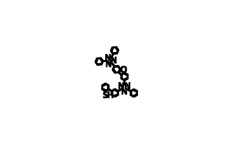 Sc1ccccc1-c1cccc(-c2nc(-c3ccccc3)nc(-c3ccc4oc5cc(-c6nc(-c7ccccc7)nc(-c7ccccc7)n6)ccc5c4c3)n2)c1